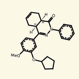 COc1ccc(C2=NN(c3ccccc3)C(=O)[C@@H]3CC=CC[C@H]23)cc1OC1CCCC1